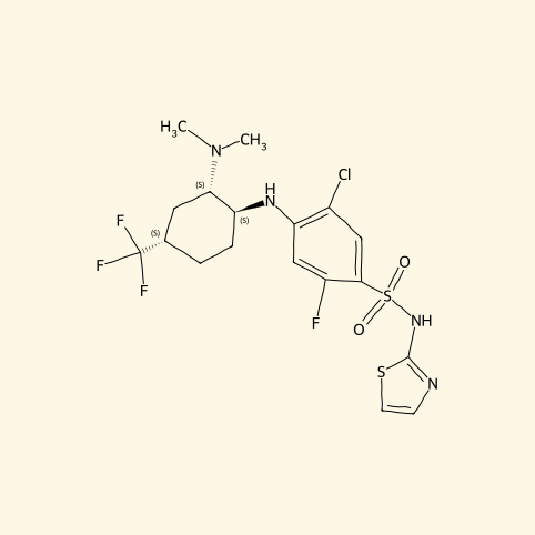 CN(C)[C@H]1C[C@@H](C(F)(F)F)CC[C@@H]1Nc1cc(F)c(S(=O)(=O)Nc2nccs2)cc1Cl